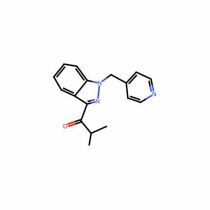 CC(C)C(=O)c1nn(Cc2ccncc2)c2ccccc12